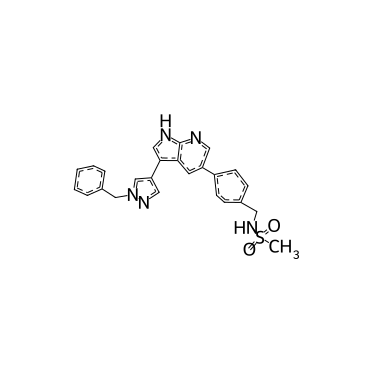 CS(=O)(=O)NCc1ccc(-c2cnc3[nH]cc(-c4cnn(Cc5ccccc5)c4)c3c2)cc1